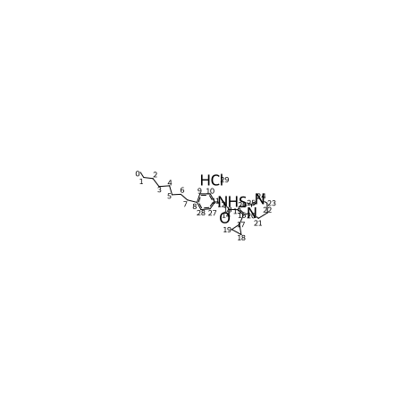 CCCCCCCCc1ccc(NC(=O)C2=C(C3CC3)N3CCCN=C3S2)cc1.Cl